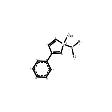 CCCCS1(N(CC)CC)C=CC(c2ccccc2)=C1